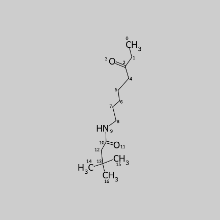 CCC(=O)CCCCCNC(=O)CC(C)(C)C